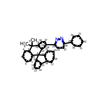 CC1(C)c2ccccc2C2(c3ccccc3-c3ccccc32)c2cc(-c3ccc(-c4ccccc4)nn3)ccc21